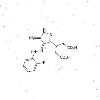 N=C1NN=C(C(CC(=O)O)CC(=O)O)/C1=N/Nc1ccccc1F